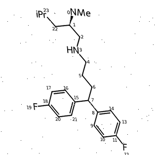 CN[C@@H](CNCCCC(c1ccc(F)cc1)c1ccc(F)cc1)CC(C)C